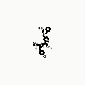 Cc1nn2ccc(CN(CCN)Cc3ccccc3)cc2c1-c1nc(Cc2ccc(Cl)cc2)c(-c2nnc[nH]2)s1